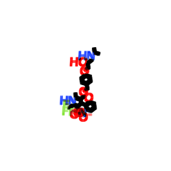 COC(=O)C1=C(C(F)(F)F)NC(C)=C(C(=O)OCc2ccc(OCC(O)CNC(C)C)cc2)C1c1ccccc1[N+](=O)[O-]